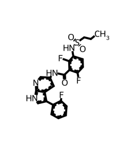 CCCS(=O)(=O)Nc1ccc(F)c(C(=O)Nc2cnc3[nH]cc(-c4ccccc4F)c3c2)c1F